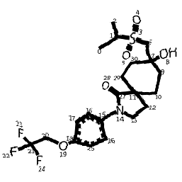 CC(C)S(=O)(=O)CC1(O)CCC2(CCN(c3ccc(OCC(F)(F)F)cc3)C2=O)CC1